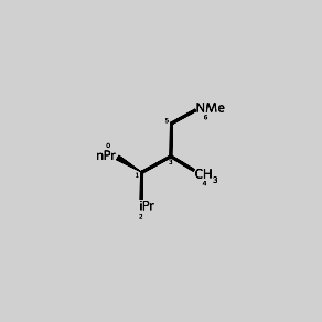 CCC[C@H](C(C)C)C(C)CNC